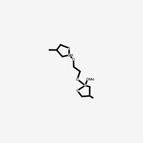 CO[Si]1(OCCO[SiH]2CC(C)CS2)CC(C)CS1